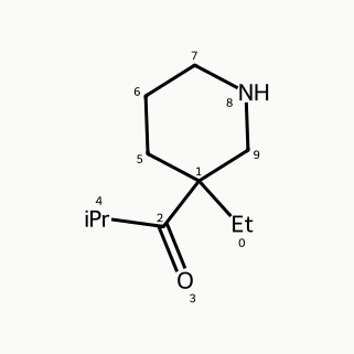 CCC1(C(=O)C(C)C)CCCNC1